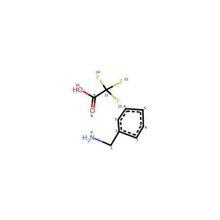 NCc1ccccc1.O=C(O)C(F)(F)F